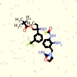 CCC(COC(=O)C(C)(C)C)(NSC(=O)Nc1cccc(Cn2ccoc2=N)c1N)c1cccc(C(F)(F)F)c1